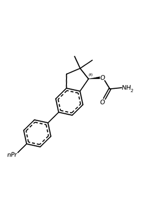 CCCc1ccc(-c2ccc3c(c2)CC(C)(C)[C@H]3OC(N)=O)cc1